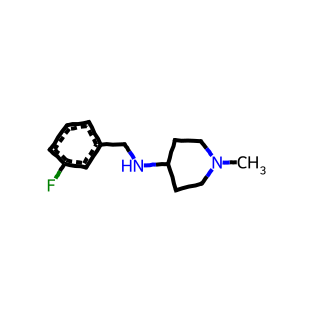 CN1CCC(NCc2cccc(F)c2)CC1